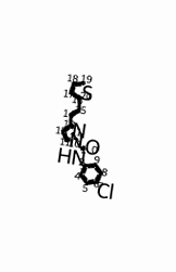 O=C(Nc1ccc(Cl)cc1)n1ccc(C=Cc2cccs2)n1